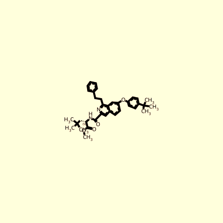 COC(=O)[C@H](CC(C)(C)C)NC(=O)c1cc2ccc(Oc3ccc(C(C)(C)C)cc3)cc2c(CCc2ccccc2)n1